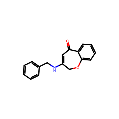 O=C1C=C(NCc2ccccc2)COc2ccccc21